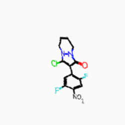 O=c1c(-c2cc(F)c([N+](=O)[O-])cc2F)c(Cl)n2n1CCCC2